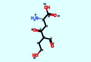 N[C@@H](CC(=O)C([C]=O)CCO)C(=O)O